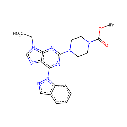 CC(C)OC(=O)N1CCN(c2nc(-n3ncc4ccccc43)c3ncn(CC(=O)O)c3n2)CC1